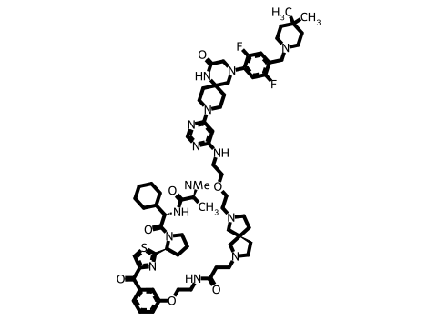 CN[C@@H](C)C(=O)N[C@H](C(=O)N1CCC[C@H]1c1nc(C(=O)c2cccc(OCCNC(=O)CCN3CC[C@@]4(CCN(CCOCCNc5cc(N6CCC7(CC6)CN(c6cc(F)c(CN8CCC(C)(C)CC8)cc6F)CC(=O)N7)ncn5)C4)C3)c2)cs1)C1CCCCC1